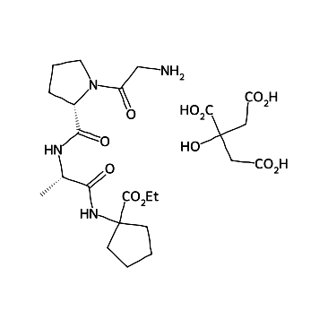 CCOC(=O)C1(NC(=O)[C@H](C)NC(=O)[C@@H]2CCCN2C(=O)CN)CCCC1.O=C(O)CC(O)(CC(=O)O)C(=O)O